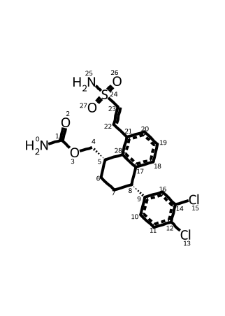 NC(=O)OC[C@H]1CC[C@@H](c2ccc(Cl)c(Cl)c2)c2cccc(C=CS(N)(=O)=O)c21